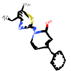 Cc1nc(N2C=CC(c3ccccc3)=CC2O)sc1C(=O)O